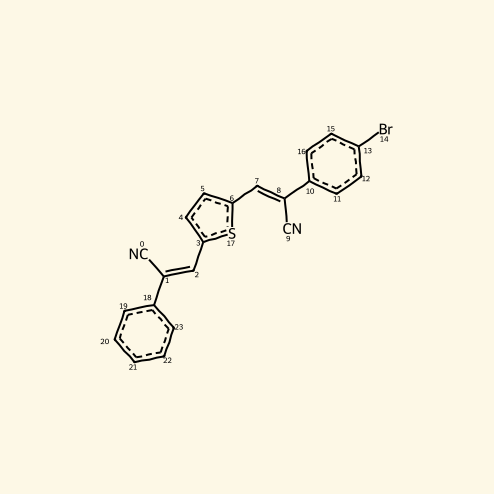 N#C/C(=C\c1ccc(/C=C(\C#N)c2ccc(Br)cc2)s1)c1ccccc1